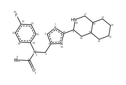 CC(C)(C)C(=O)N(Cc1csc(C2CC3CCCCC3CN2)n1)c1ccc(F)cc1